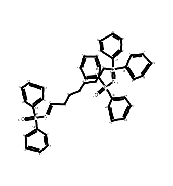 O=P(N=P(CCCCCC/C=N/P(=O)(c1ccccc1)c1ccccc1)(c1ccccc1)c1ccccc1)(c1ccccc1)c1ccccc1